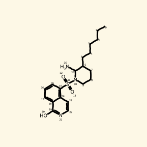 CCCCCCC1CCCN(S(=O)(=O)c2cccc3c(O)nccc23)C1N